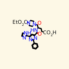 CCOC(=O)N1CCN(C(=O)C(CCC(=O)O)NC(=O)c2cc(-c3ncc[nH]3)nc(-c3ccccc3)n2)CC1